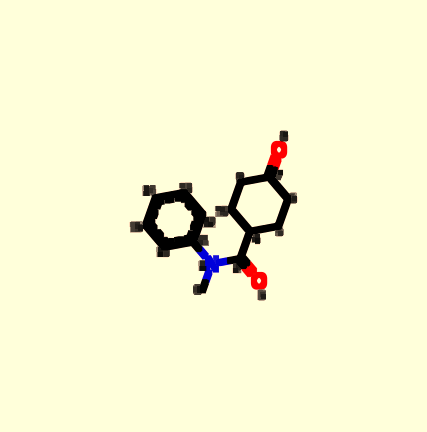 CN(C(=O)C1CCC(=O)CC1)c1ccccc1